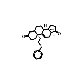 C[C@]12CC=C3[C@@H](CCC4=CC(=O)CC[C@@]43CCSc3ccccc3)[C@@H]1CCC2=O